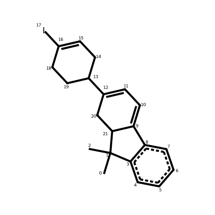 CC1(C)c2ccccc2C2=CC=C(C3CC=C(I)CC3)CC21